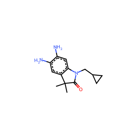 CC1(C)C(=O)N(CC2CC2)c2cc(N)c(N)cc21